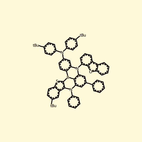 CC(C)(C)c1ccc(N(c2ccc(C(C)(C)C)cc2)c2ccc3c(c2)N(c2cccc4c2oc2ccccc24)c2cc(-c4ccccc4)cc4c2B3c2sc3ccc(C(C)(C)C)cc3c2N4c2ccccc2)cc1